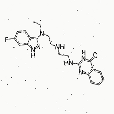 CCN(CCNCCNc1nc2ccccc2c(=O)[nH]1)c1n[nH]c2cc(F)ccc12